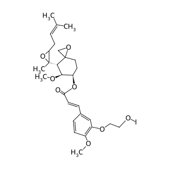 COc1ccc(/C=C/C(=O)O[C@@H]2CCC3(CO3)[C@@H](C3(C)OC3CC=C(C)C)[C@@H]2OC)cc1OCCOI